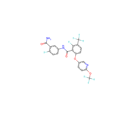 NC(=O)c1cc(NC(=O)c2c(Oc3ccc(OC(F)(F)F)nc3)ccc(C(F)(F)F)c2F)ccc1F